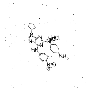 Cl.Cl.N[C@H]1CC[C@H](Nc2nc(Nc3ccc([N+](=O)[O-])cc3)c3ncn(C4CCCC4)c3n2)CC1